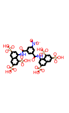 O=C(Nc1cc(S(=O)(=O)O)cc2cc(S(=O)(=O)O)cc(S(=O)(=O)O)c12)c1cc(C(=O)Nc2cc(S(=O)(=O)O)cc3cc(S(=O)(=O)O)cc(S(=O)(=O)O)c23)cc([N+](=O)[O-])c1